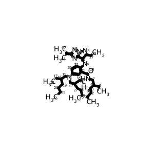 CCCCC(CC)CNC(=O)c1cc(N(CC(CC)CCCC)CC(CC)CCCC)ccc1/N=C1/C(CC)=Nn2nc(C(C)C)nc21